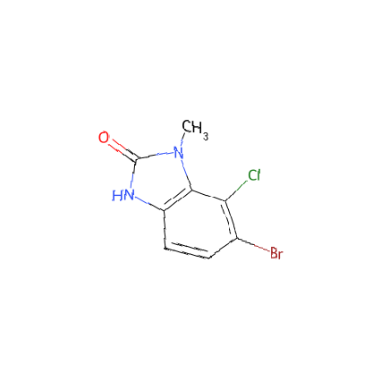 Cn1c(=O)[nH]c2ccc(Br)c(Cl)c21